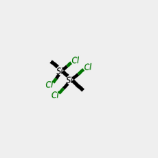 C[Si](Cl)(Cl)[Si](C)(Cl)Cl